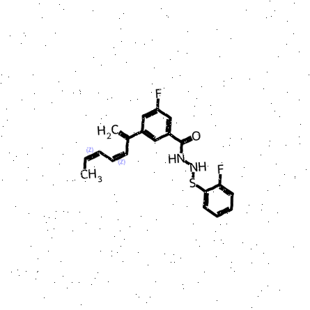 C=C(/C=C\C=C/C)c1cc(F)cc(C(=O)NNSc2ccccc2F)c1